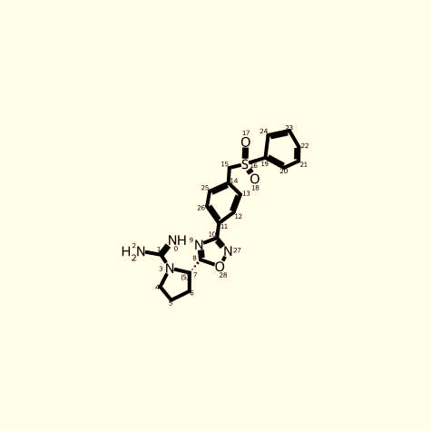 N=C(N)N1CCC[C@H]1c1nc(-c2ccc(CS(=O)(=O)c3ccccc3)cc2)no1